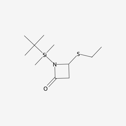 CCSC1CC(=O)N1[Si](C)(C)C(C)(C)C